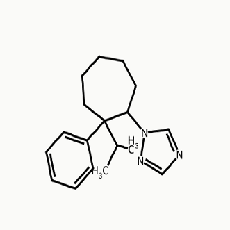 CC(C)C1(c2ccccc2)CCCCCC1n1cncn1